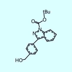 CC(C)(C)OC(=O)n1nc(-c2ccc(CO)cc2)c2ccccc21